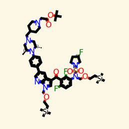 C[C@H]1CN(CC2CCN(CC(=O)OC(C)(C)C)CC2)C[C@H](C)N1c1ccc(-c2cnc3c(c2)c(C(=O)c2c(F)ccc(N(COCC[Si](C)(C)C)S(=O)(=O)N4CC[C@@H](F)C4)c2F)cn3COCC[Si](C)(C)C)cc1